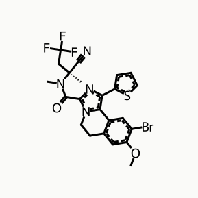 COc1cc2c(cc1Br)-c1c(-c3cccs3)nc(C(=O)N(C)[C@](C)(C#N)CC(F)(F)F)n1CC2